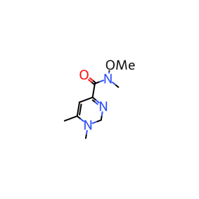 CON(C)C(=O)C1=NCN(C)C(C)=C1